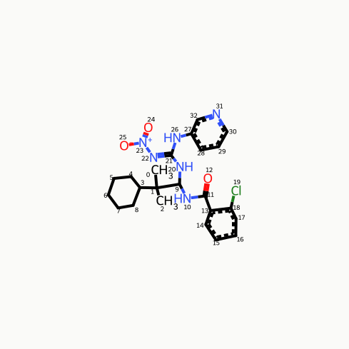 CC(C)(C1CCCCC1)C(NC(=O)c1ccccc1Cl)N/C(=N/[N+](=O)[O-])Nc1cccnc1